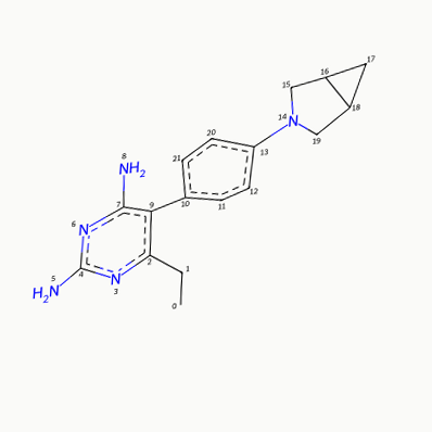 CCc1nc(N)nc(N)c1-c1ccc(N2CC3CC3C2)cc1